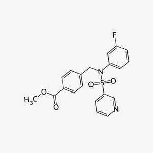 COC(=O)c1ccc(CN(c2cccc(F)c2)S(=O)(=O)c2cccnc2)cc1